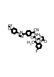 CC1c2cc(F)ccc2N2C(=O)CSC2N1C(=O)NC(C#N)c1ccc(-c2ncn(-c3ccc(OC(F)(F)F)cc3)n2)cc1